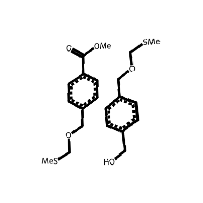 COC(=O)c1ccc(COCSC)cc1.CSCOCc1ccc(CO)cc1